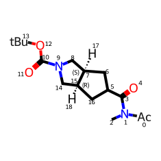 CC(=O)N(C)C(=O)C1C[C@@H]2CN(C(=O)OC(C)(C)C)C[C@@H]2C1